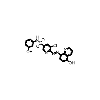 O=S(=O)(Nc1cccc(O)c1)c1cnc(N=Nc2ccc(O)c3cccnc23)c(Cl)c1